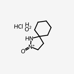 Cl.O.O=[N+]1CCC2(CCCCC2)N1